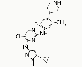 Cc1cc(Nc2ncc(Cl)c(Nc3cc(C4CC4)[nH]n3)n2)c(F)cc1C1CCNCC1